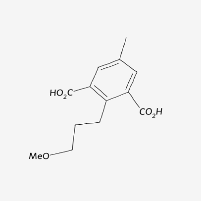 COCCCc1c(C(=O)O)cc(C)cc1C(=O)O